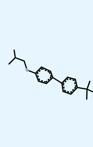 CC(C)COc1ccc(-c2ccc(C(C)(C)C)cc2)cc1